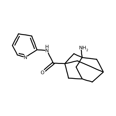 NC12CC3CC(C1)CC(C(=O)Nc1ccccn1)(C3)C2